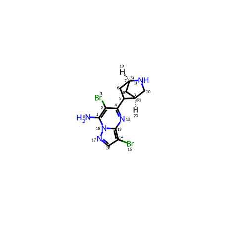 Nc1c(Br)c(C2C[C@@H]3C[C@H]2CN3)nc2c(Br)cnn12